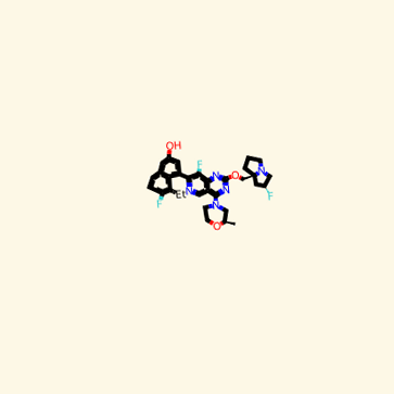 CCc1c(F)ccc2cc(O)cc(-c3ncc4c(N5CCO[C@H](C)C5)nc(OC[C@@]56CCCN5C[C@H](F)C6)nc4c3F)c12